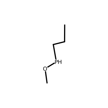 CCCPOC